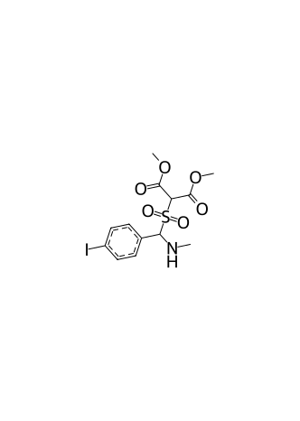 CNC(c1ccc(I)cc1)S(=O)(=O)C(C(=O)OC)C(=O)OC